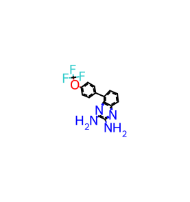 Nc1nc2cccc(-c3ccc(OC(F)(F)F)cc3)c2nc1N